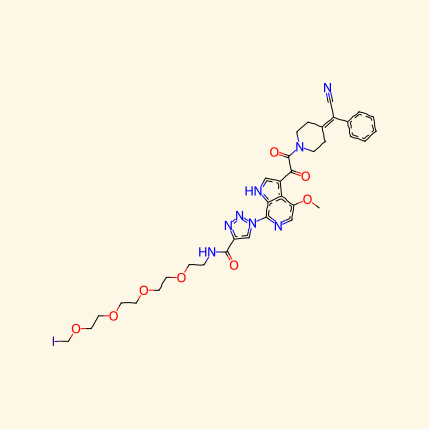 COc1cnc(-n2cc(C(=O)NCCOCCOCCOCCOCI)nn2)c2[nH]cc(C(=O)C(=O)N3CCC(=C(C#N)c4ccccc4)CC3)c12